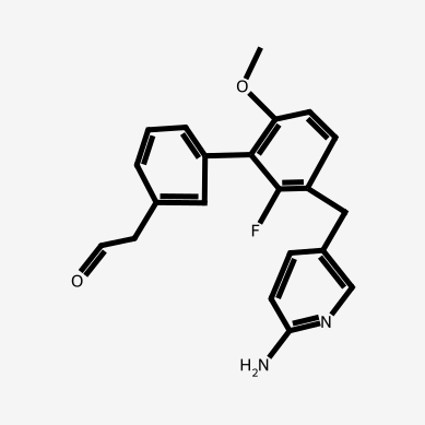 COc1ccc(Cc2ccc(N)nc2)c(F)c1-c1cccc(CC=O)c1